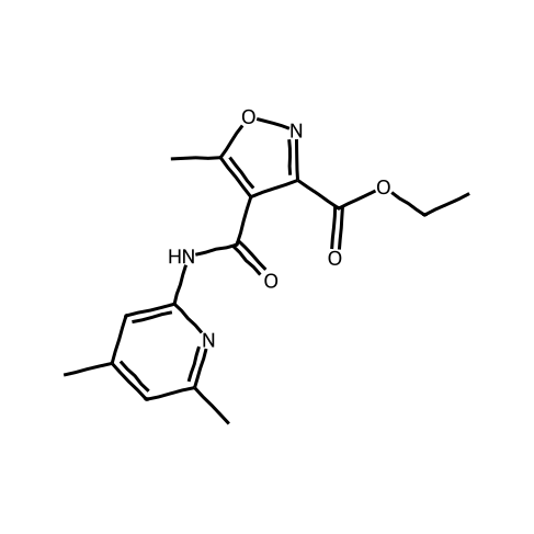 CCOC(=O)c1noc(C)c1C(=O)Nc1cc(C)cc(C)n1